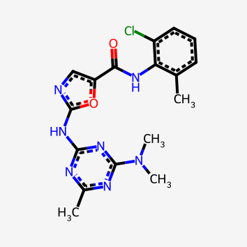 Cc1nc(Nc2ncc(C(=O)Nc3c(C)cccc3Cl)o2)nc(N(C)C)n1